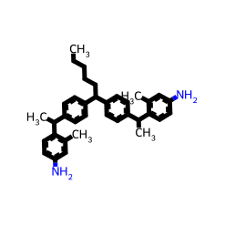 CCCCCC(c1ccc(C(C)c2ccc(N)cc2C)cc1)c1ccc(C(C)c2ccc(N)cc2C)cc1